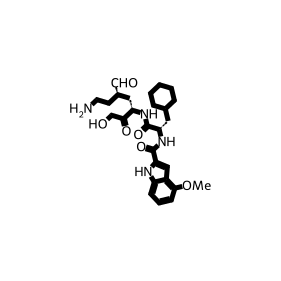 COc1cccc2[nH]c(C(=O)N[C@@H](CC3CCCCC3)C(=O)N[C@@H](C[C@@H](C=O)CCN)C(=O)CO)cc12